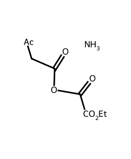 CCOC(=O)C(=O)OC(=O)CC(C)=O.N